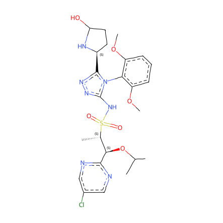 COc1cccc(OC)c1-n1c(NS(=O)(=O)[C@@H](C)[C@@H](OC(C)C)c2ncc(Cl)cn2)nnc1[C@@H]1CCC(O)N1